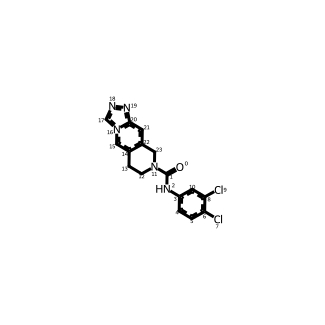 O=C(Nc1ccc(Cl)c(Cl)c1)N1CCc2cn3cnnc3cc2C1